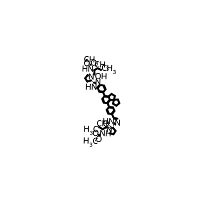 CCC(C)[C@H](NC(=O)OC)C(O)N1CCC[C@H]1c1nc2ccc(-c3ccc(-c4ccc(-c5cnc([C@@H]6CCCN6C(=O)[C@@H](NC(=O)OC)C(C)C)[nH]5)cc4)c4c3CCC43CCCC3)cc2[nH]1